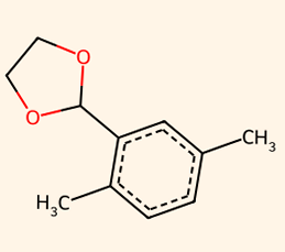 Cc1ccc(C)c(C2OCCO2)c1